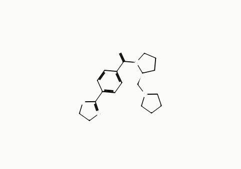 O=C(c1ccc(C2=NCCS2)cc1)N1CCC[C@H]1CN1CCCC1